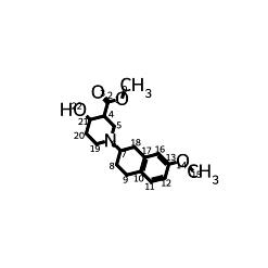 COC(=O)C1CN(C2CCc3ccc(OC)cc3C2)CCC1O